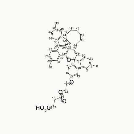 Cc1ccc(C2(c3ccc(OCCOC(=O)CCC(=O)O)cc3)C=Cc3c4c(c5ccc(C)cc5c3O2)-c2ccc(C)cc2C42CCCCCCC2)cc1